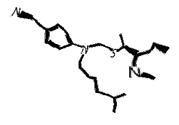 C=C/C(N=C)=C(\C)SCN(CCCC(C)C)c1ccc(C#N)cc1